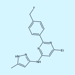 CCc1cc(Nc2cc(C)[nH]n2)nc(-c2ccc(CF)cc2)n1